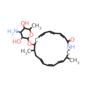 CC1/C=C/C=C\C=C\CC(C)C(OC2OC(C)C(O)C(N)C2O)C\C=C/C=C/C=C\C(=O)NC1